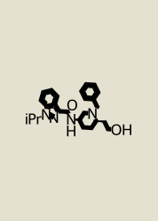 CC(C)n1nc(C(=O)N[C@@H]2CC[C@H](CCO)N(Cc3ccccc3)C2)c2ccccc21